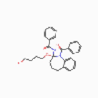 O=C(NC1(OCCCCO)CCCc2ccccc2N1C(=O)c1ccccc1)c1ccccc1